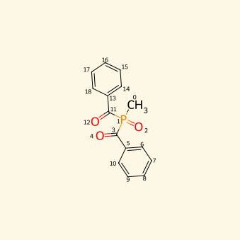 CP(=O)(C(=O)c1ccccc1)C(=O)c1ccccc1